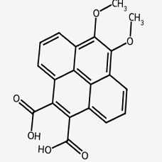 COc1c(OC)c2cccc3c(C(=O)O)c(C(=O)O)c4cccc1c4c23